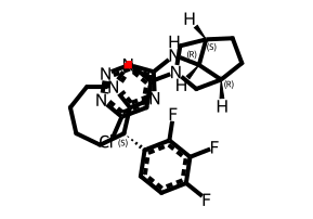 Fc1ccc([C@@H]2CCCCn3nc(N[C@H]4[C@@H]5CC[C@H]4CN(c4cnnc(Cl)c4)C5)nc32)c(F)c1F